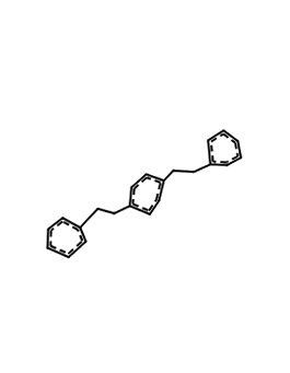 c1ccc(CCc2ccc(CCc3ccccc3)cc2)cc1